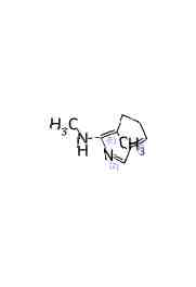 CNC1=C(/C)CC/C=C/C=N\1